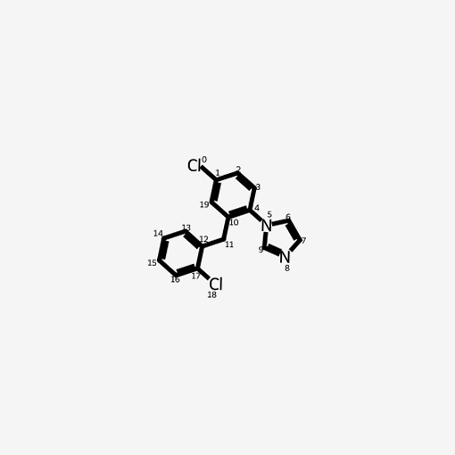 Clc1ccc(-n2ccnc2)c(Cc2ccccc2Cl)c1